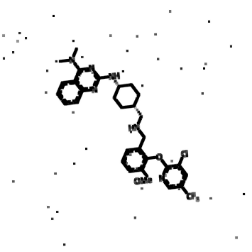 COc1cccc(CNC[C@H]2CC[C@@H](Nc3nc(N(C)C)c4ccccc4n3)CC2)c1Oc1ncc(C(F)(F)F)cc1Cl